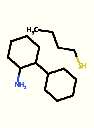 CCCCS.NC1CCCCC1C1CCCCC1